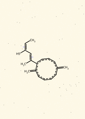 C=c1ccccc(=C)c(/C(C)=C/C(S)=C\C)ccc1